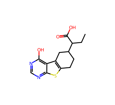 CCC(C(=O)O)C1CCc2sc3ncnc(O)c3c2C1